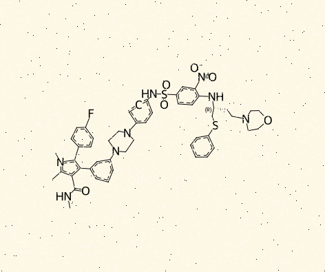 CNC(=O)c1c(-c2cccc(N3CCN(c4ccc(NS(=O)(=O)c5ccc(N[C@H](CCN6CCOCC6)CSc6ccccc6)c([N+](=O)[O-])c5)cc4)CC3)c2)c(-c2ccc(F)cc2)n(C)c1C